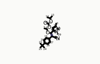 Cc1cc(/C(OC(C)OC(=O)OC(C)C)=C(\C#N)c2ccc(C(C)(C)C)cc2)n(C)n1